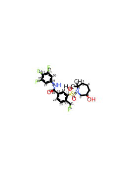 CC1(C)CCCC(O)CN1S(=O)(=O)c1cc(C(=O)Nc2cc(F)c(F)c(F)c2)ccc1CF